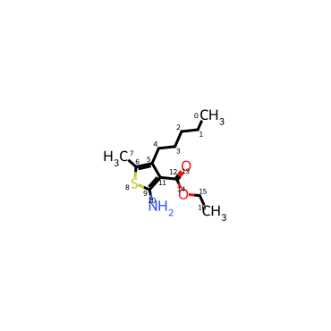 CCCCCc1c(C)sc(N)c1C(=O)OCC